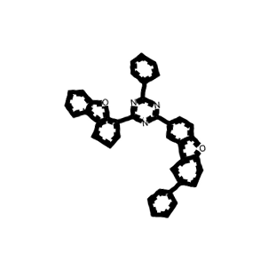 c1ccc(-c2ccc3oc4ccc(-c5nc(-c6ccccc6)nc(-c6cccc7c6oc6ccccc67)n5)cc4c3c2)cc1